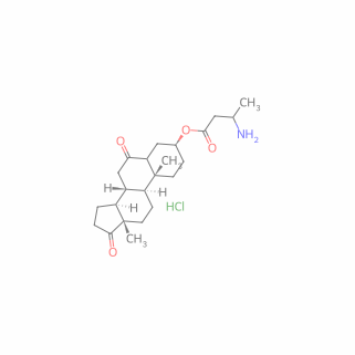 CC(N)CC(=O)O[C@H]1CC[C@@]2(C)C(C1)C(=O)C[C@@H]1[C@@H]2CC[C@]2(C)C(=O)CC[C@@H]12.Cl